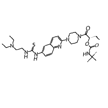 CC[C@H](OC(=O)NC(C)(C)C)C(=O)N1CCN(c2ccc3cc(NC(=S)NCCN(CC)CC)ccc3n2)CC1